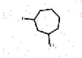 NC1CCCCC(F)C1